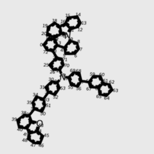 c1ccc(-c2ccccc2-n2c3ccccc3c3ccccc32)c(-c2ccc(N(c3ccc(-c4ccc(-c5cccc6c5oc5ccccc56)cc4)cc3)c3ccc(-c4ccc5ccccc5c4)cc3)cc2)c1